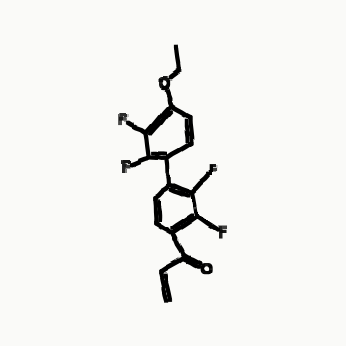 C=CC(=O)c1ccc(-c2ccc(OCC)c(F)c2F)c(F)c1F